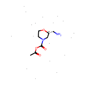 CC(=O)OC(=O)N1CCO[C@H](CN)C1